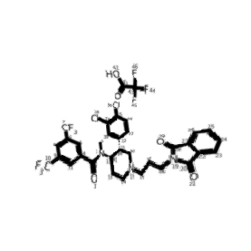 CN(C(=O)c1cc(C(F)(F)F)cc(C(F)(F)F)c1)[C@@H]1CCN(CCCN2C(=O)c3ccccc3C2=O)C[C@H]1c1ccc(Cl)c(Cl)c1.O=C(O)C(F)(F)F